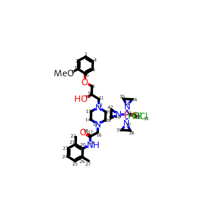 COc1ccccc1OCC(O)CN1CCN(CC(=O)Nc2c(C)cccc2C)CC1.Cl.Cl.S=P(N1CC1)(N1CC1)N1CC1